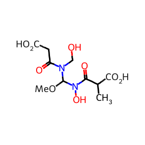 COC(N(O)C(=O)C(C)C(=O)O)N(CO)C(=O)CC(=O)O